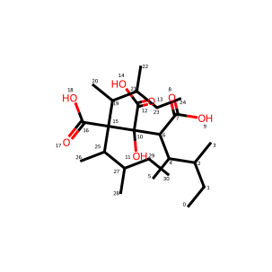 CCC(C)C(C)C(C(=O)O)C(O)(C(=O)O)C(C(=O)O)(C(C)C(C)CC)C(C)C(C)CC